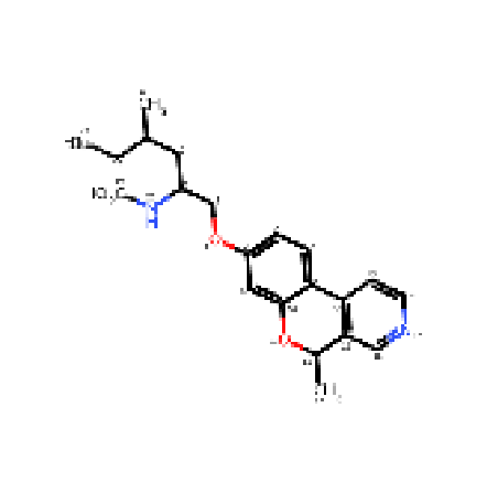 CC(CC(COc1ccc2c(c1)OC(C)c1cnccc1-2)NC(=O)O)CC(C)(C)C